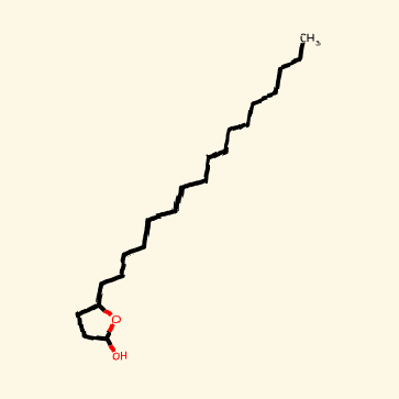 CCCCCCCCCCCCCCCCCC1CCC(O)O1